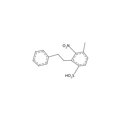 Cc1ccc(S(=O)(=O)O)c(CCc2ccccc2)c1[N+](=O)[O-]